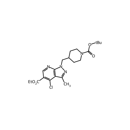 CCOC(=O)c1cnc2c(c(C)nn2CC2CCN(C(=O)OC(C)(C)C)CC2)c1Cl